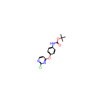 CC(C)(C)OC(=O)Nc1ccc(Oc2ccnc(Cl)n2)cc1